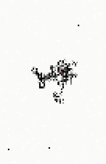 CC[C@H](C)[C@@H]([C@@H](CC(=O)N1CCC[C@H]1[C@H](OC)[C@@H](C)C(=O)N[C@@H](Cc1ccccc1)C(=O)N(C)Cc1ccccc1)OC)N(C)[C@H](C(=O)NC(=O)[C@H](C(C)C)N(C)CCCC(=O)NNC(=O)CCCCCN1C(=O)C=CC1=O)C(C)C